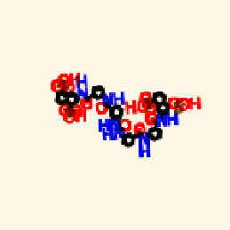 O=C(Nc1cccc(C(=O)Nc2cccc(C(=O)Nc3cc(OSO)c4cccc(S(=O)(=O)O)c4c3)c2)c1)Nc1cccc(C(=O)Nc2cccc(C(=O)Nc3cc(S(=O)(=O)O)c4cccc(S(=O)(=O)O)c4c3)c2)c1